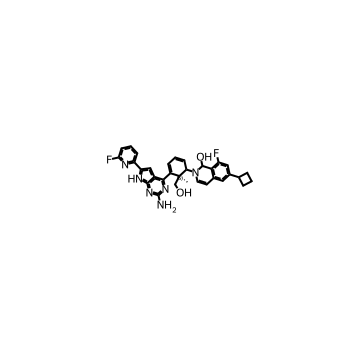 C[C@]1(CO)C(c2nc(N)nc3[nH]c(-c4cccc(F)n4)cc23)=CC=CC1N1C=Cc2cc(C3CCC3)cc(F)c2C1O